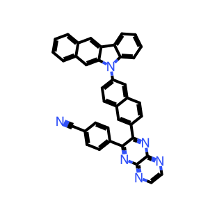 N#Cc1ccc(-c2nc3nccnc3nc2-c2ccc3cc(-n4c5ccccc5c5cc6ccccc6cc54)ccc3c2)cc1